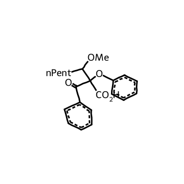 CCCCCC(OC)C(Oc1ccccc1)(C(=O)O)C(=O)c1ccccc1